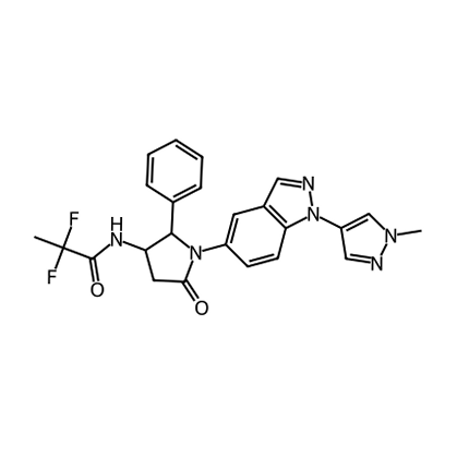 Cn1cc(-n2ncc3cc(N4C(=O)CC(NC(=O)C(C)(F)F)C4c4ccccc4)ccc32)cn1